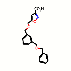 O=C(O)c1cc(COCc2cccc(COCc3ccccc3)c2)on1